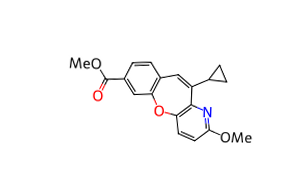 COC(=O)c1ccc2c(c1)Oc1ccc(OC)nc1C(C1CC1)=C2